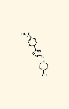 O=C(O)c1ccc(-c2nc(CN3CCC(O)CC3)co2)cc1